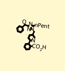 CCCCCc1nc(C(=O)c2ccccc2)nn1Cc1ccc(-c2ccccc2C(=O)O)nc1